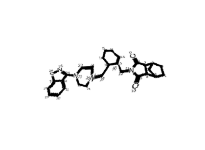 O=C1C2C3CCC(C3)C2C(=O)N1C[C@@H]1CCCCC1CN1CCN(c2nsc3ccccc23)CC1